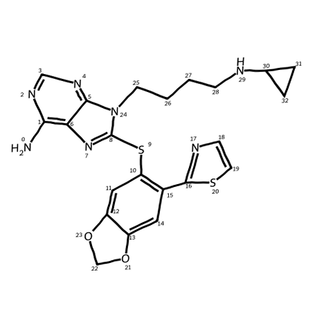 Nc1ncnc2c1nc(Sc1cc3c(cc1-c1nccs1)OCO3)n2CCCCNC1CC1